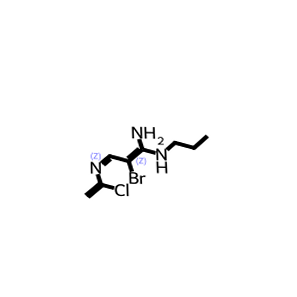 C=C(Cl)/N=C\C(Br)=C(/N)NCCC